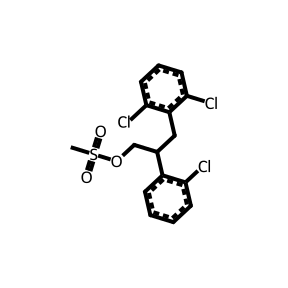 CS(=O)(=O)OCC(Cc1c(Cl)cccc1Cl)c1ccccc1Cl